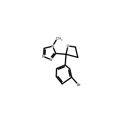 Cn1cnnc1C1(c2cccc(Br)c2)CCO1